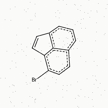 Brc1ccc2cccc3c2c1C=C3